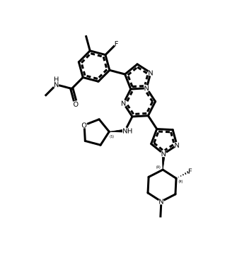 CNC(=O)c1cc(C)c(F)c(-c2cnn3cc(-c4cnn([C@@H]5CCN(C)C[C@H]5F)c4)c(N[C@H]4CCOC4)nc23)c1